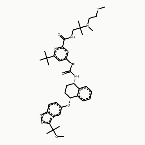 COCCN(C)C(C)(C)CNC(=O)c1nc(NC(=O)N[C@H]2CC[C@@H](Oc3ccc4nnc(C(C)(C)OC)n4c3)c3ccccc32)cc(C(C)(C)C)n1